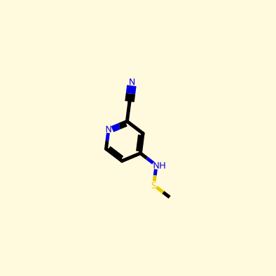 CSNc1ccnc(C#N)c1